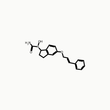 NC(=O)N(O)C1CCc2cc(OCC=Cc3ccccc3)ccc21